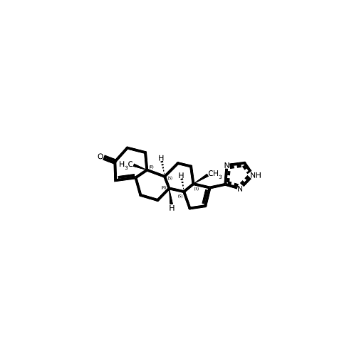 C[C@]12CCC(=O)C=C1CC[C@@H]1[C@@H]2CC[C@]2(C)C(c3nc[nH]n3)=CC[C@@H]12